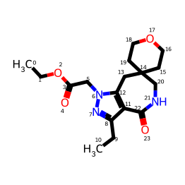 CCOC(=O)Cn1nc(CC)c2c1CC1(CCOCC1)CNC2=O